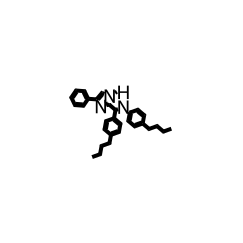 CCCCc1ccc(NC(c2ccc(CCCC)cc2)c2nc(-c3ccccc3)cn2C)cc1